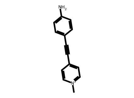 C[n+]1ccc(C#Cc2ccc(N)cc2)cc1